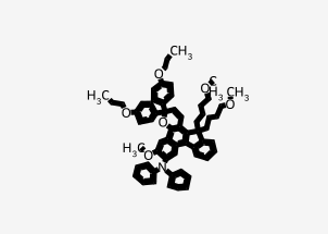 CCCOc1ccc(C2(c3ccc(OCCC)cc3)C=Cc3c4c(c5cc(N(c6ccccc6)c6ccccc6)c(OC)cc5c3O2)-c2ccccc2C4(CCCCOC)CCCCOC)cc1